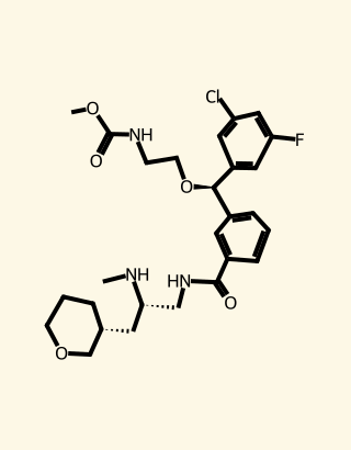 CN[C@H](CNC(=O)c1cccc([C@@H](OCCNC(=O)OC)c2cc(F)cc(Cl)c2)c1)C[C@H]1CCCOC1